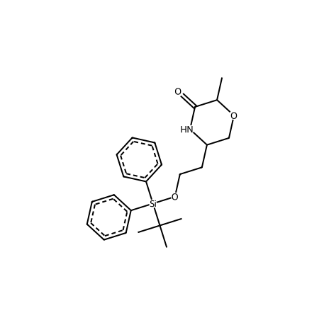 CC1OCC(CCO[Si](c2ccccc2)(c2ccccc2)C(C)(C)C)NC1=O